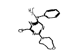 CN(c1ccccc1)c1nc(Cl)nc(N2CCOCC2)n1